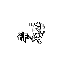 [2H]C([2H])([2H])C(N[C@H]1CN(c2ncc3c4c(c(-c5ncc(F)c6sc(NC(=O)OC(C)(C)C)c(C#N)c56)c(F)c3n2)COC4)C[C@H]1O)C([2H])([2H])[2H]